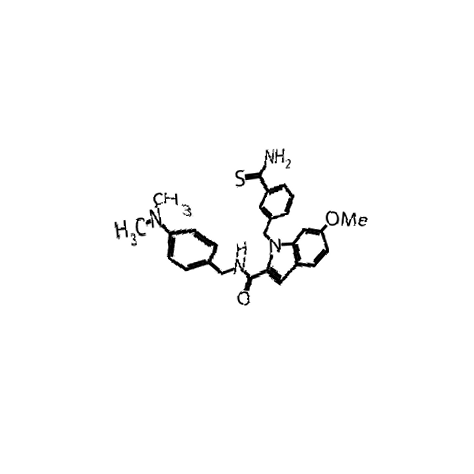 COc1ccc2cc(C(=O)NCc3ccc(N(C)C)cc3)n(Cc3cccc(C(N)=S)c3)c2c1